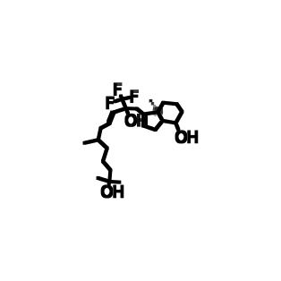 CC(CC=CC(O)(CC1CCC2C(O)CCC[C@]12C)C(F)(F)F)CCCC(C)(C)O